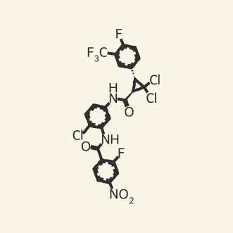 O=C(Nc1cc(NC(=O)[C@H]2[C@H](c3ccc(F)c(C(F)(F)F)c3)C2(Cl)Cl)ccc1Cl)c1ccc([N+](=O)[O-])cc1F